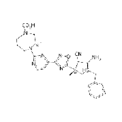 C[C@H]1CN(C(=O)O)CCCN1c1nccc(-c2noc([C@@]3(C)C[SH](Cc4ccccc4)C(N)C3C#N)n2)n1